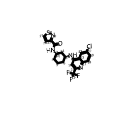 O=C(N[C@@H]1CCC[C@H](Nc2cc(C(F)(F)F)nc3ccc(Cl)cc23)C1)c1ccsn1